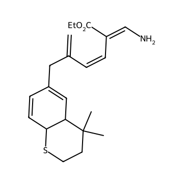 C=C(/C=C\C(=C/N)C(=O)OCC)CC1=CC2C(C=C1)SCCC2(C)C